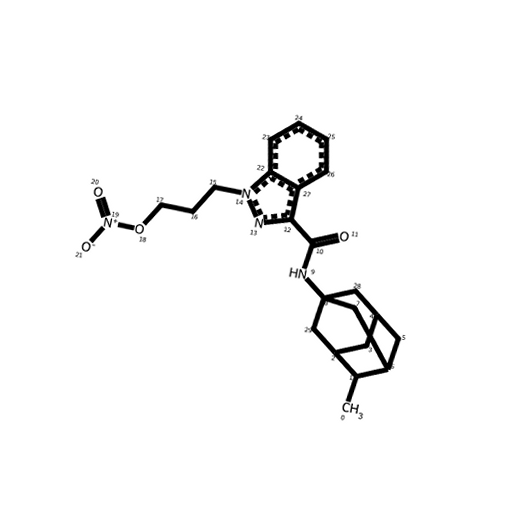 CC1C2CC3CC1CC(NC(=O)c1nn(CCCO[N+](=O)[O-])c4ccccc14)(C3)C2